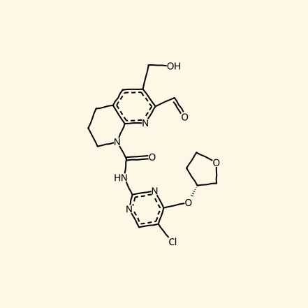 O=Cc1nc2c(cc1CO)CCCN2C(=O)Nc1ncc(Cl)c(O[C@@H]2CCOC2)n1